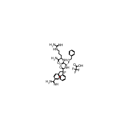 C[C@@](Cc1ccc(C(=N)N)cc1)(C(=O)N[C@@H](COCc1ccccc1)C(=O)NC(CCCNC(=N)N)C(N)=O)c1ccccc1.O=C(O)C(F)(F)F